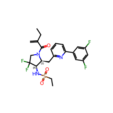 C=C(CC)C(=O)N1CC(F)(F)[C@H](NS(=O)(=O)CC)[C@@H]1Cc1cccc(-c2cc(F)cc(F)c2)n1